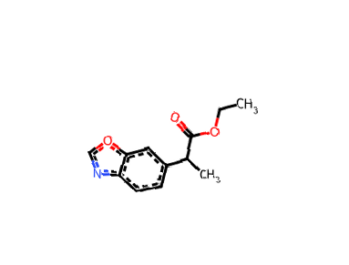 CCOC(=O)C(C)c1ccc2ncoc2c1